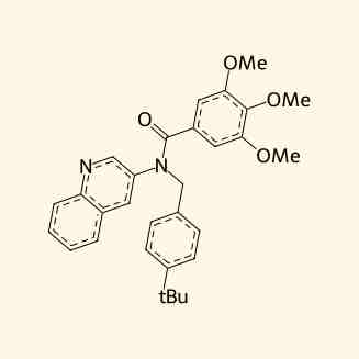 COc1cc(C(=O)N(Cc2ccc(C(C)(C)C)cc2)c2cnc3ccccc3c2)cc(OC)c1OC